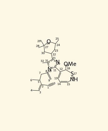 C#C/C(=C/C)C(C)CC(=C)n1c(C2=CC=CNSC2OC)nc(C2CC(C)OC(C)(C)C2)c1C